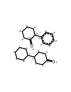 O=C1CCC(C2CCCCC2)CC1.O=C1CCCCC1c1ccccc1